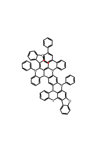 c1ccc(-c2cccc(-c3ccccc3N3c4cc5c(cc4B4c6ccccc6N(c6ccccc6)c6c4c3cc3oc4ccccc4c63)B3c4ccccc4Sc4c3c(cc3oc6ccccc6c43)N5c3ccccc3)c2)cc1